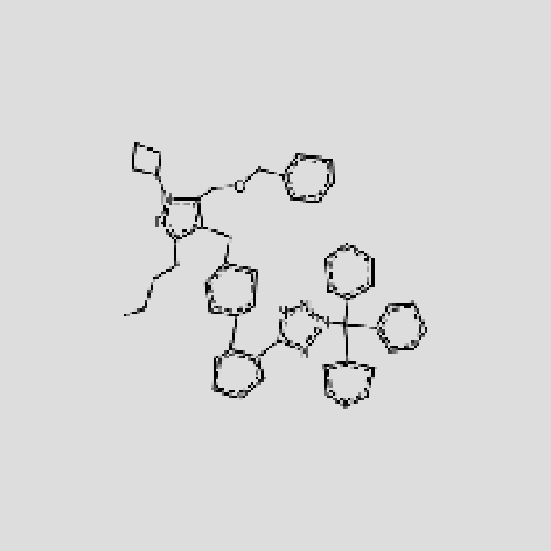 CCCCc1nn(C2CCC2)c(COCc2ccccc2)c1Cc1ccc(-c2ccccc2-c2nnn(C(c3ccccc3)(c3ccccc3)c3ccccc3)n2)cc1